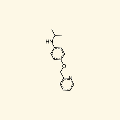 CC(C)Nc1ccc(OCc2ccccn2)cc1